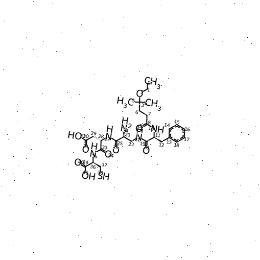 CCOC(C)(C)CCC(=O)N[C@@H](Cc1ccccc1)C(=O)NC[C@H](N)C(=O)N[C@@H](CC(=O)O)C(=O)N[C@@H](CS)C(=O)O